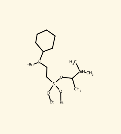 CCO[Si](CCN(C1CCCCC1)C(C)(C)C)(OCC)OC(C)[SiH](C)C